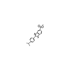 COC(=O)c1ccc2sc(-c3ccc(C(C)C)cc3)nc2c1